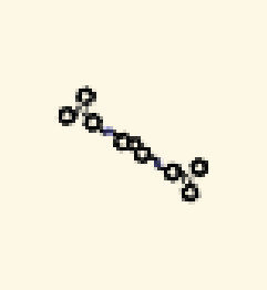 C(=C\c1ccc2c(c1)Cc1cc(/C=C/c3ccc(N(c4ccccc4)c4ccccc4)cc3)ccc1-2)/c1ccc(N(c2ccccc2)c2ccccc2)cc1